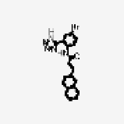 O=C(/C=C/c1ccc2ccccc2c1)Nc1ccc(Br)cc1-c1nnn[nH]1